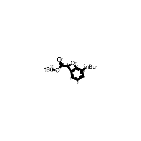 [CH2]CC[CH]c1cccc2c1OC2C(=O)OC(C)(C)C